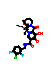 CC1[C@@H](C)C[C@H]2n3cc(C(=O)NCc4ccc(F)c(Cl)c4F)c(=O)c(O)c3C(=O)N3CCCO[C@]123